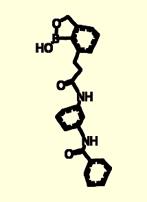 O=C(CCc1cccc2c1B(O)OC2)Nc1cccc(NC(=O)c2ccccc2)c1